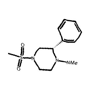 CNN1CCN(S(C)(=O)=O)C[C@@H]1c1ccccc1